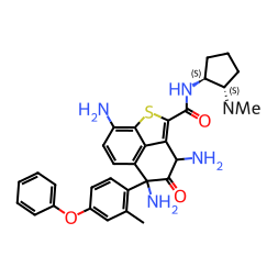 CN[C@H]1CCC[C@@H]1NC(=O)c1sc2c(N)ccc3c2c1C(N)C(=O)C3(N)c1ccc(Oc2ccccc2)cc1C